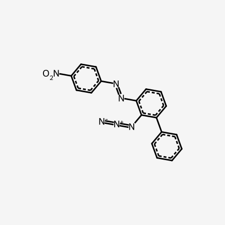 [N-]=[N+]=Nc1c(N=Nc2ccc([N+](=O)[O-])cc2)cccc1-c1ccccc1